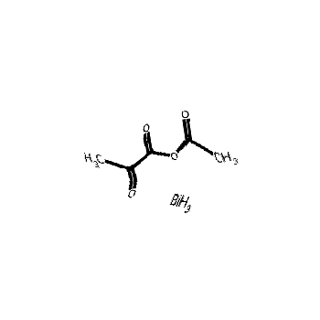 CC(=O)OC(=O)C(C)=O.[BiH3]